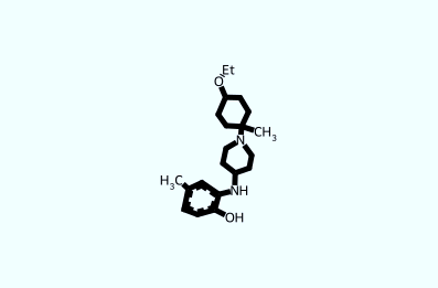 CCOC1CCC(C)(N2CCC(Nc3cc(C)ccc3O)CC2)CC1